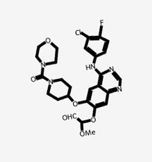 COC(C=O)Oc1cc2ncnc(Nc3ccc(F)c(Cl)c3)c2cc1OC1CCN(C(=O)N2CCOCC2)CC1